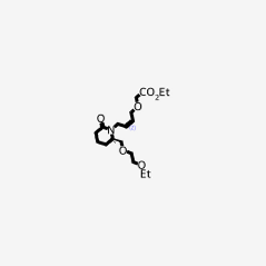 CCOCCOC[C@H]1CCCC(=O)N1C/C=C\COCC(=O)OCC